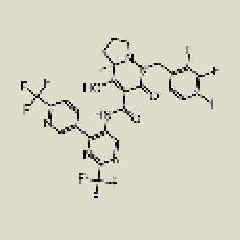 C[C@]12CCCN1N(Cc1ccc(I)c(F)c1F)C(=O)C(C(=O)Nc1cnc(C(F)(F)F)nc1-c1ccc(C(F)(F)F)nc1)=C2O